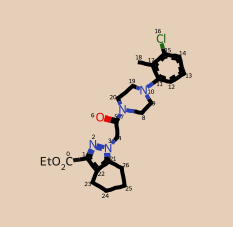 CCOC(=O)c1nn(CC(=O)N2CCN(c3cccc(Cl)c3C)CC2)c2c1CCCC2